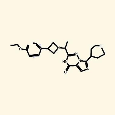 C=C(/C=C\C(=C/C)C1CN(C(C)c2nn3c(C4CCOCC4)ncc3c(=O)[nH]2)C1)OCC